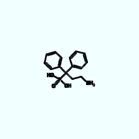 O=P(O)(O)C(CC[SiH3])(c1ccccc1)c1ccccc1